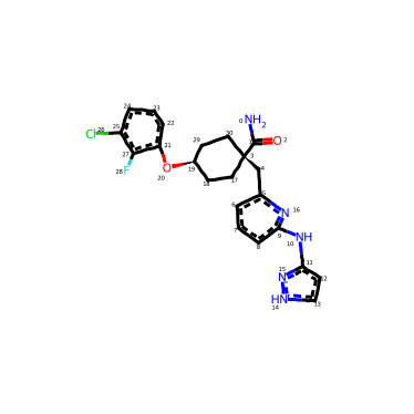 NC(=O)[C@]1(Cc2cccc(Nc3cc[nH]n3)n2)CC[C@@H](Oc2cccc(Cl)c2F)CC1